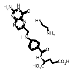 NCCS.Nc1nc2ncc(CNc3ccc(C(=O)NC(CCC(=O)O)C(=O)O)cc3)nc2c(=O)[nH]1